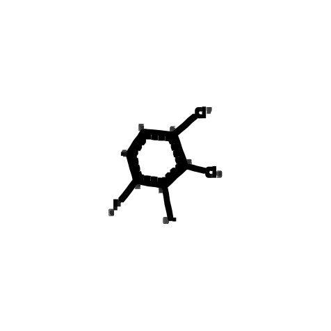 [CH2]c1c(F)ccc(Cl)c1Cl